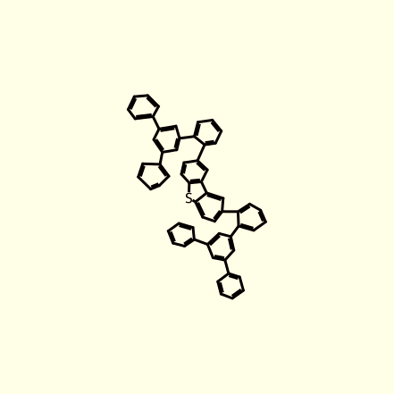 c1ccc(-c2cc(-c3ccccc3)cc(-c3ccccc3-c3ccc4sc5ccc(-c6ccccc6-c6cc(-c7ccccc7)cc(-c7ccccc7)c6)cc5c4c3)c2)cc1